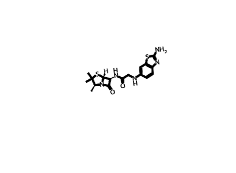 C[C@@H]1N2C(=O)[C@@H](NC(=O)CNc3ccc4nc(N)sc4c3)[C@H]2SC1(C)C